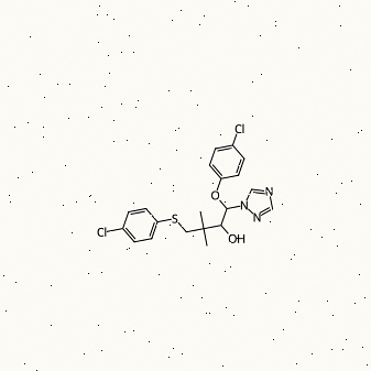 CC(C)(CSc1ccc(Cl)cc1)C(O)C(Oc1ccc(Cl)cc1)n1cncn1